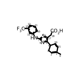 CC1=CCC(c2nc(Nc3cccc(C(F)(F)F)c3)sc2CC(=O)O)C=C1